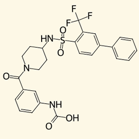 O=C(O)Nc1cccc(C(=O)N2CCC(NS(=O)(=O)c3ccc(-c4ccccc4)cc3C(F)(F)F)CC2)c1